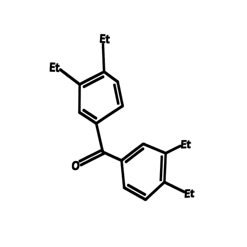 CCc1ccc(C(=O)c2ccc(CC)c(CC)c2)cc1CC